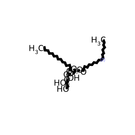 CCCCCCC/C=C\CCCCCCCC(=O)OC[C@H](COP(=O)(O)OC[C@@H](O)CO)OC(=O)CCCCCCCCCCCCCC